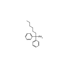 CCCCCCC(P)(c1ccccc1)c1ccccc1